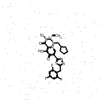 C=C[C@H]1N(CC)C(=O)c2c(O)c(=O)c(-c3nnc(Cc4c(F)cc(F)cc4F)s3)cn2N1CC1CCCC1